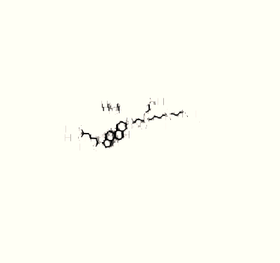 CC(C)CCCC(C)[C@H]1CC[C@H]2[C@@H]3CC=C4C[C@@H](OC(=O)CC(=O)N(CCCN)CCCCNCCCN)CC[C@]4(C)[C@H]3CC[C@]12C.Cl.Cl.Cl